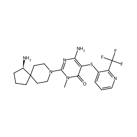 Cn1c(N2CCC3(CCC[C@H]3N)CC2)nc(N)c(Sc2cccnc2C(F)(F)F)c1=O